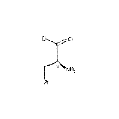 CC(C)C[C@H](N)C(=O)Cl